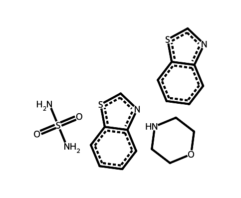 C1COCCN1.NS(N)(=O)=O.c1ccc2scnc2c1.c1ccc2scnc2c1